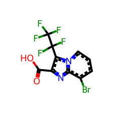 O=C(O)c1nc2c(Br)cccn2c1C(F)(F)C(F)(F)F